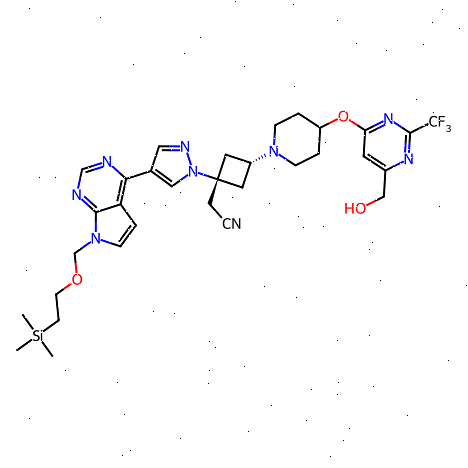 C[Si](C)(C)CCOCn1ccc2c(-c3cnn([C@]4(CC#N)C[C@H](N5CCC(Oc6cc(CO)nc(C(F)(F)F)n6)CC5)C4)c3)ncnc21